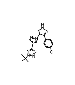 CC(C)(C)n1nnc(-c2cnn(C3CNN=C3c3ccc(Cl)cc3)c2)n1